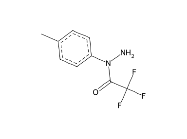 Cc1ccc(N(N)C(=O)C(F)(F)F)cc1